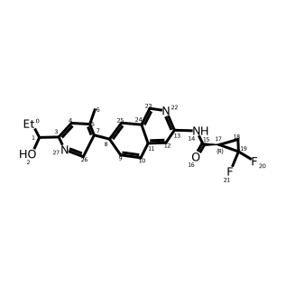 CCC(O)c1cc(C)c(-c2ccc3cc(NC(=O)[C@H]4CC4(F)F)ncc3c2)cn1